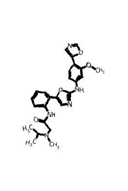 COc1cc(Nc2ncc(-c3ccccc3NC(=O)CN(C)C(C)C)o2)ccc1-c1cnco1